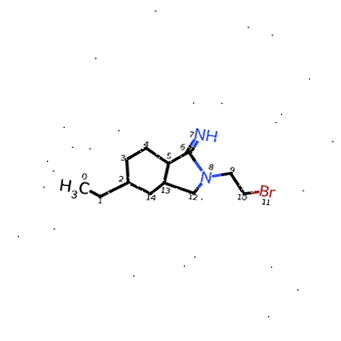 CCC1CCC2C(=N)N(CCBr)CC2C1